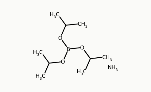 CC(C)OB(OC(C)C)OC(C)C.N